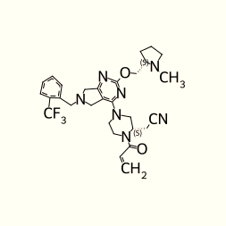 C=CC(=O)N1CCN(c2nc(OC[C@@H]3CCCN3C)nc3c2CN(Cc2ccccc2C(F)(F)F)C3)C[C@@H]1CC#N